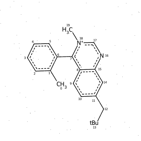 Cc1ccccc1-c1c2ccc(CC(C)(C)C)cc2nc[n+]1C